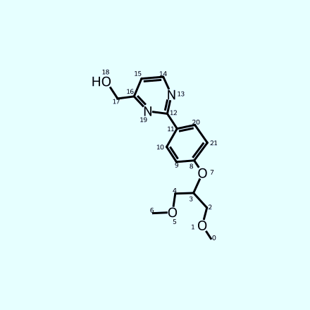 COCC(COC)Oc1ccc(-c2nccc(CO)n2)cc1